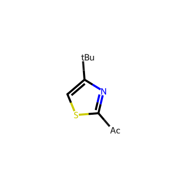 CC(=O)c1nc(C(C)(C)C)cs1